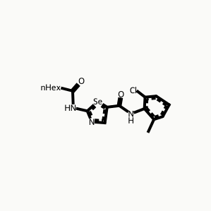 CCCCCCC(=O)Nc1ncc(C(=O)Nc2c(C)cccc2Cl)[se]1